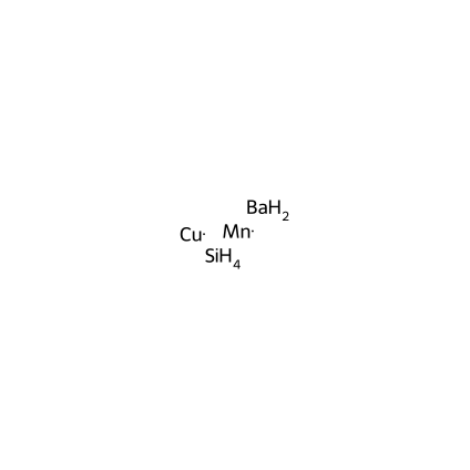 [BaH2].[Cu].[Mn].[SiH4]